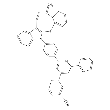 C=C1/C=C\c2c(n(-c3ccc(C4=NC(c5cccc(C#N)c5)=CC(c5ccccc5)N4)cc3)c3ccccc23)Sc2ccccc21